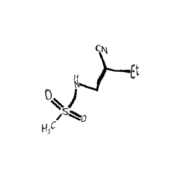 CCC(C#N)CNS(C)(=O)=O